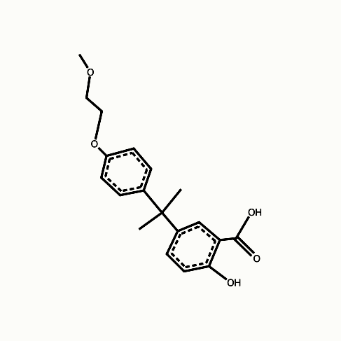 COCCOc1ccc(C(C)(C)c2ccc(O)c(C(=O)O)c2)cc1